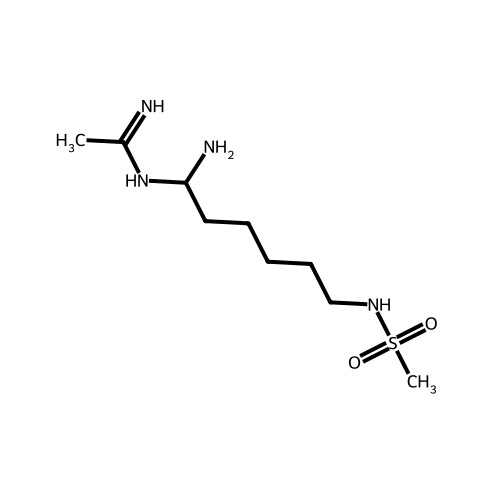 CC(=N)NC(N)CCCCCNS(C)(=O)=O